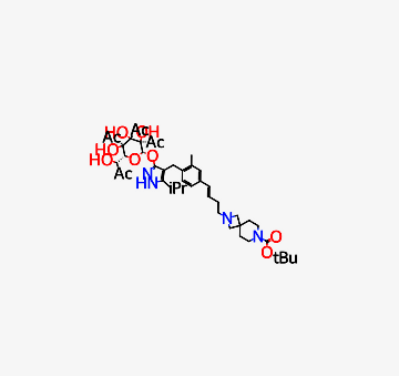 CC(=O)C(O)[C@H]1O[C@@H](Oc2n[nH]c(C(C)C)c2Cc2ccc(/C=C/CCN3CC4(CCN(C(=O)OC(C)(C)C)CC4)C3)cc2C)[C@@](O)(C(C)=O)[C@](O)(C(C)=O)[C@@]1(O)C(C)=O